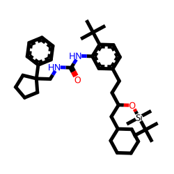 CC(C)(C)c1ccc(CCC(CC2CCCCC2)O[Si](C)(C)C(C)(C)C)cc1NC(=O)NCC1(c2ccccc2)CCCC1